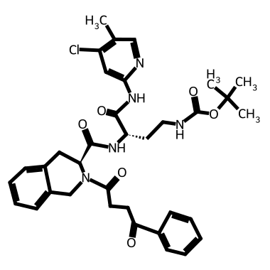 Cc1cnc(NC(=O)[C@H](CCNC(=O)OC(C)(C)C)NC(=O)[C@@H]2Cc3ccccc3CN2C(=O)CCC(=O)c2ccccc2)cc1Cl